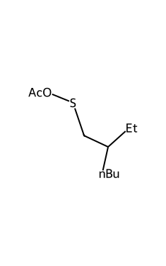 CCCCC(CC)CSOC(C)=O